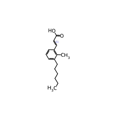 CCCCCCc1cccc(/C=C/C(=O)O)c1C